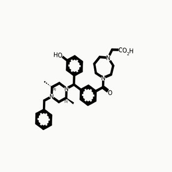 C[C@@H]1CN(C(c2cccc(O)c2)c2cccc(C(=O)N3CCCN(CC(=O)O)CC3)c2)[C@@H](C)CN1Cc1ccccc1